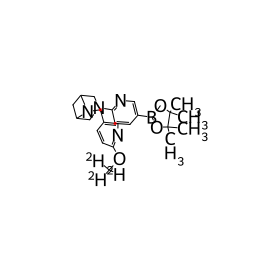 [2H]C([2H])([2H])Oc1ccc(CN2C3CC2CN(c2ccc(B4OC(C)(C)C(C)(C)O4)cn2)C3)cn1